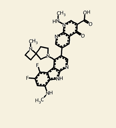 CNc1cc(F)c(F)c2c1[nH]c1ncc(-c3cnc4c(c3)c(=O)c(C(=O)O)cn4NC)c(N3CCC4(CCN4C)C3)c12